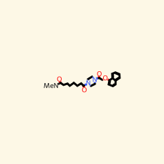 CNC(=O)CCCCCCC(=O)N1CCN(C(=O)COc2cccc3ccccc23)CC1